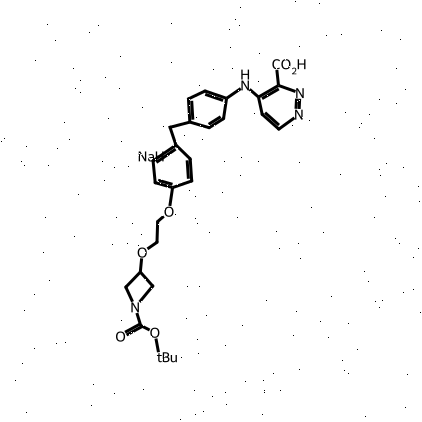 CC(C)(C)OC(=O)N1CC(OCCOc2ccc(Cc3ccc(Nc4ccnnc4C(=O)O)cc3)cc2)C1.[NaH]